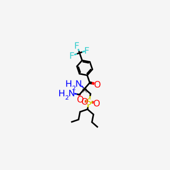 CCCC(CCC)S(=O)(=O)C[C@](N)(C(N)=O)C(=O)c1ccc(C(F)(F)F)cc1